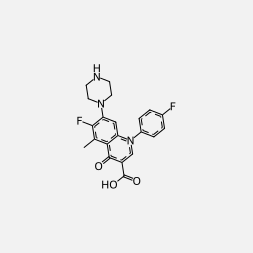 Cc1c(F)c(N2CCNCC2)cc2c1c(=O)c(C(=O)O)cn2-c1ccc(F)cc1